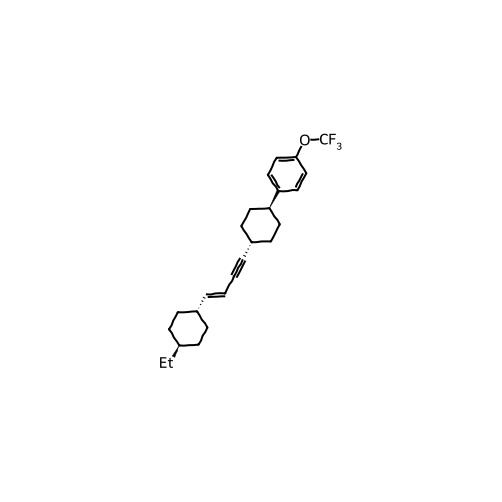 CC[C@H]1CC[C@H](/C=C/C#C[C@H]2CC[C@H](c3ccc(OC(F)(F)F)cc3)CC2)CC1